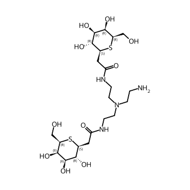 NCCN(CCNC(=O)C[C@@H]1S[C@H](CO)[C@H](O)[C@H](O)[C@H]1O)CCNC(=O)C[C@@H]1S[C@H](CO)[C@H](O)[C@H](O)[C@H]1O